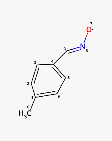 Cc1ccc(C=N[O])cc1